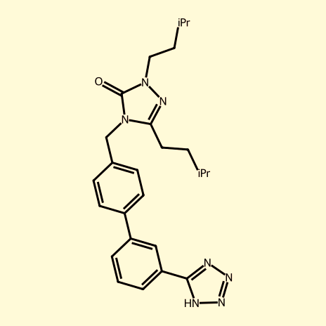 CC(C)CCc1nn(CCC(C)C)c(=O)n1Cc1ccc(-c2cccc(-c3nnn[nH]3)c2)cc1